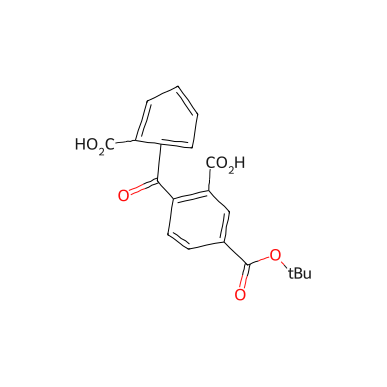 CC(C)(C)OC(=O)c1ccc(C(=O)c2ccccc2C(=O)O)c(C(=O)O)c1